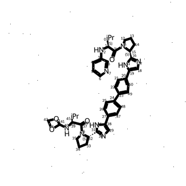 CC(C)[C@H](Nc1cccnc1)C(=O)N1CCC[C@H]1c1ncc(-c2ccc(-c3ccc(-c4cnc([C@@H]5CCCN5C(=O)[C@@H](NC5OCO5)C(C)C)[nH]4)cc3)cc2)[nH]1